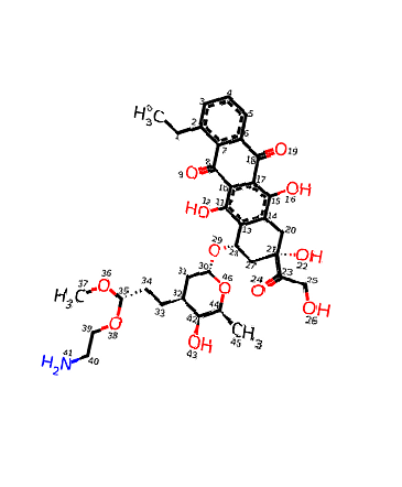 CCc1cccc2c1C(=O)c1c(O)c3c(c(O)c1C2=O)C[C@@](O)(C(=O)CO)C[C@@H]3O[C@H]1C[C@H](CC[C@@H](OC)OCCN)[C@H](O)[C@H](C)O1